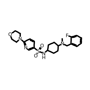 CN(Cc1ccccc1F)C1CCC(NS(=O)(=O)c2ccc(N3CCOCC3)nc2)CC1